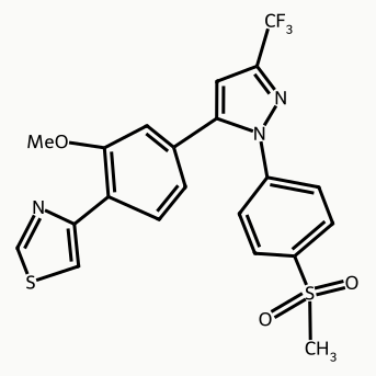 COc1cc(-c2cc(C(F)(F)F)nn2-c2ccc(S(C)(=O)=O)cc2)ccc1-c1cscn1